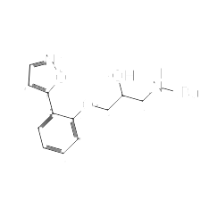 CC(C)(C)NCC(O)COc1ccccc1-c1ccno1